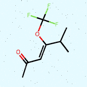 CC(=O)C=C(OC(F)(F)F)C(C)C